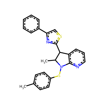 Cc1ccc(SN2c3ncccc3C(c3nc(-c4ccccc4)cs3)C2C)cc1